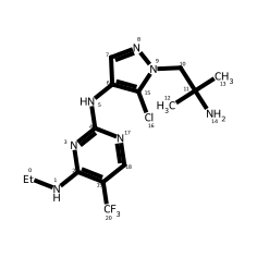 CCNc1nc(Nc2cnn(CC(C)(C)N)c2Cl)ncc1C(F)(F)F